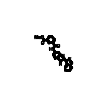 COC(=O)c1cccc(C(=O)Nc2ccc3[nH]c(C4N=Cc5ccccc54)nc3c2)c1